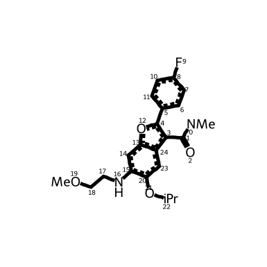 CNC(=O)c1c(-c2ccc(F)cc2)oc2cc(NCCOC)c(OC(C)C)cc12